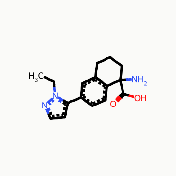 CCn1nccc1-c1ccc2c(c1)CCCC2(N)C(=O)O